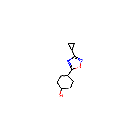 OC1CCC(c2nc(C3CC3)no2)CC1